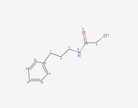 O=C(CCl)NCCCc1ccccc1